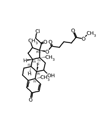 COC(=O)CCCC(=O)O[C@]1(C(=O)CCl)C(C)C[C@H]2[C@@H]3CCC4=CC(=O)C=C[C@]4(C)[C@@]3(F)C(O)C[C@@]21C